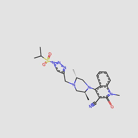 CC(C)S(=O)(=O)n1cc(CN2C[C@H](C)N(c3c(C#N)c(=O)n(C)c4ccccc34)C[C@H]2C)nn1